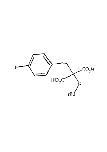 CC(C)(C)OC(Cc1ccc(I)cc1)(C(=O)O)C(=O)O